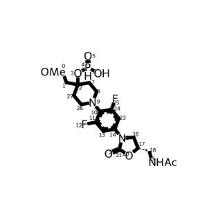 COCC1(O[PH](=O)O)CCN(c2c(F)cc(N3C[C@H](CNC(C)=O)OC3=O)cc2F)CC1